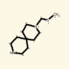 CSCN1CCC2(CCNCC2)CC1